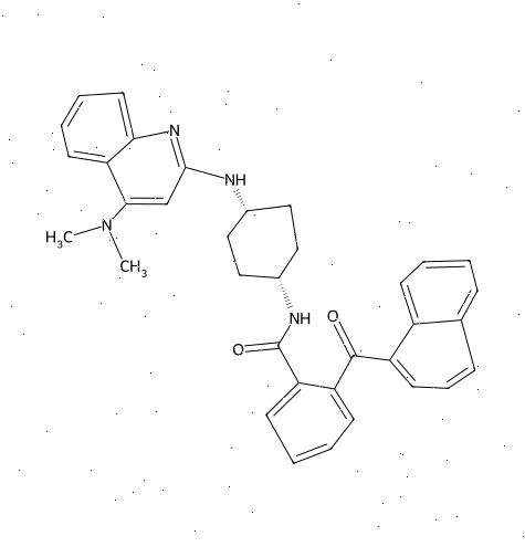 CN(C)c1cc(N[C@H]2CC[C@@H](NC(=O)c3ccccc3C(=O)c3cccc4ccccc34)CC2)nc2ccccc12